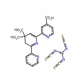 O=C(O)c1ccnc(C2=CC(C(=O)O)(C(=O)O)CC(c3ccccn3)=N2)c1.S=C=[N][Ru]([N]=C=S)[N]=C=S